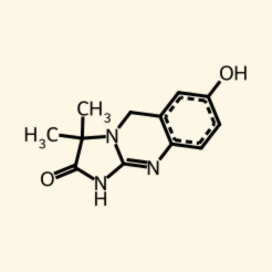 CC1(C)C(=O)NC2=Nc3ccc(O)cc3CN21